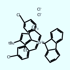 CCC1=[C]([Zr+2](=[CH]c2ccc(Cl)cc2)(=[CH]c2ccc(Cl)cc2)[CH]2c3ccccc3-c3ccccc32)C(C)C=C1C(C)(C)C.[Cl-].[Cl-]